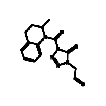 CC1CCc2ccccc2N1C(=O)n1nnn(CC=O)c1=O